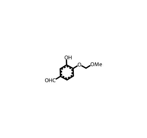 COCOc1ccc(C=O)cc1O